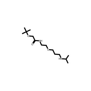 CC(C)NCCCOCCNC(=O)COC(C)(C)C